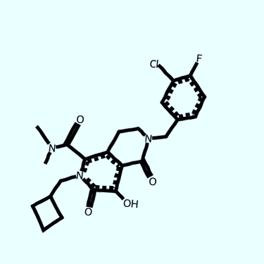 CN(C)C(=O)c1c2c(c(O)c(=O)n1CC1CCC1)C(=O)N(Cc1ccc(F)c(Cl)c1)CC2